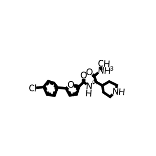 CNC(=O)[C@@H](NC(=O)c1ccc(-c2ccc(Cl)cc2)o1)C1CCNCC1